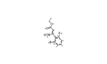 CCOC(=O)C=C(N)c1c(F)cccc1F